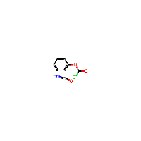 N=C=O.O=C(Cl)Oc1ccccc1